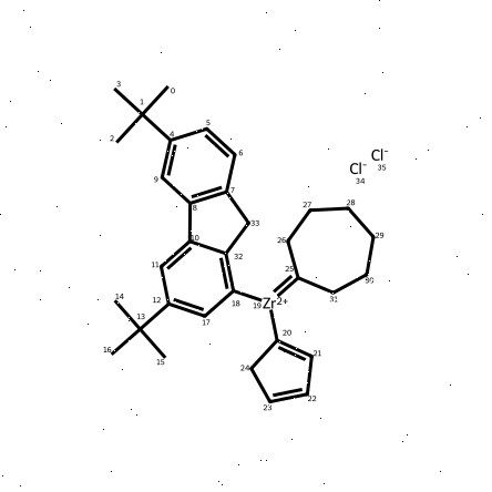 CC(C)(C)c1ccc2c(c1)-c1cc(C(C)(C)C)c[c]([Zr+2]([C]3=CC=CC3)=[C]3CCCCCC3)c1C2.[Cl-].[Cl-]